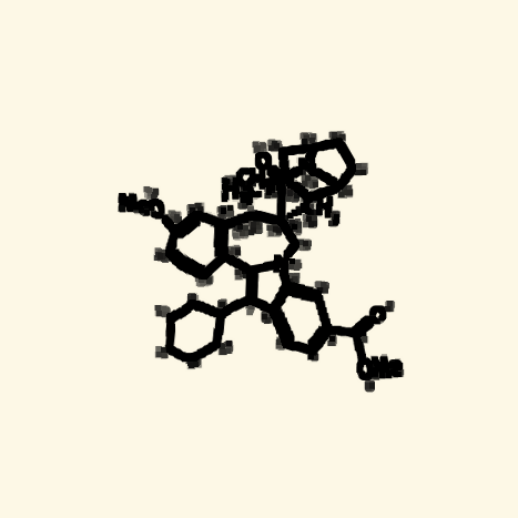 COC(=O)c1ccc2c(C3CCCCC3)c3n(c2c1)C[C@](C)(C(=O)N1C2CCC1CN(C)C2)[C@@H](C)c1cc(OC)ccc1-3